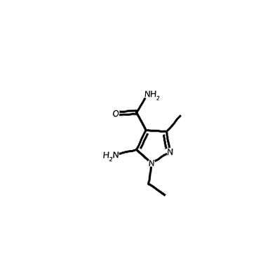 CCn1nc(C)c(C(N)=O)c1N